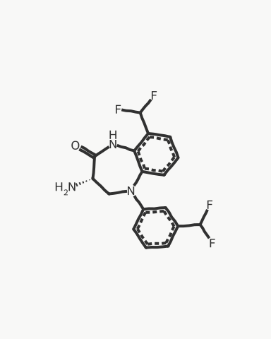 N[C@H]1CN(c2cccc(C(F)F)c2)c2cccc(C(F)F)c2NC1=O